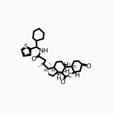 C[C@H](CC(=O)NC(c1cccs1)C1CCCCC1)[C@H]1CC[C@H]2[C@@H]3C(=O)C[C@@H]4CC(=O)CC[C@]4(C)[C@H]3CC[C@]12C